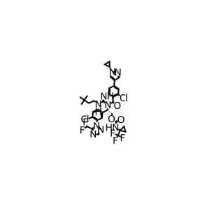 CC(C)(C)CCNC(=N)N(C(=O)c1ccc(-c2cnn(C3CC3)c2)cc1Cl)[C@H](COC(=O)NC1(C(F)(F)F)CC1)c1ccc(Cl)c(-n2ncnc2C(F)F)c1